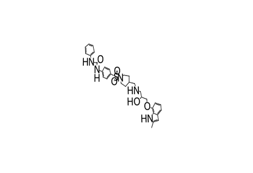 Cc1cc2cccc(OC[C@@H](O)CNCC3CCN(S(=O)(=O)c4ccc(NC(=O)Nc5ccccc5)cc4)CC3)c2[nH]1